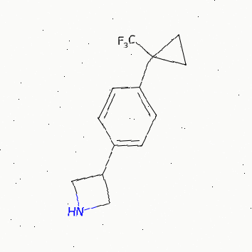 FC(F)(F)C1(c2ccc(C3CNC3)cc2)CC1